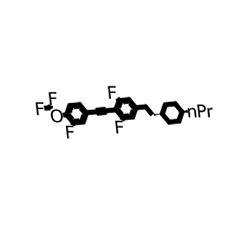 CCC[C@H]1CC[C@H](CCc2cc(F)c(C#Cc3ccc(OC(F)F)c(F)c3)c(F)c2)CC1